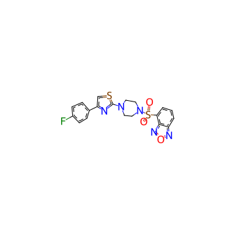 O=S(=O)(c1cccc2nonc12)N1CCN(c2nc(-c3ccc(F)cc3)cs2)CC1